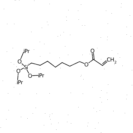 C=CC(=O)OCCCCCCC[Si](OC(C)C)(OC(C)C)OC(C)C